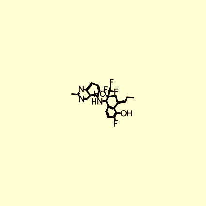 CCC=C1CC(O)(C(F)(F)F)C(Nc2cccc3nc(C)ncc23)c2ccc(F)c(O)c21